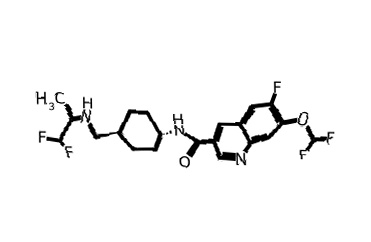 CC(NC[C@H]1CC[C@H](NC(=O)c2cnc3cc(OC(F)F)c(F)cc3c2)CC1)C(F)F